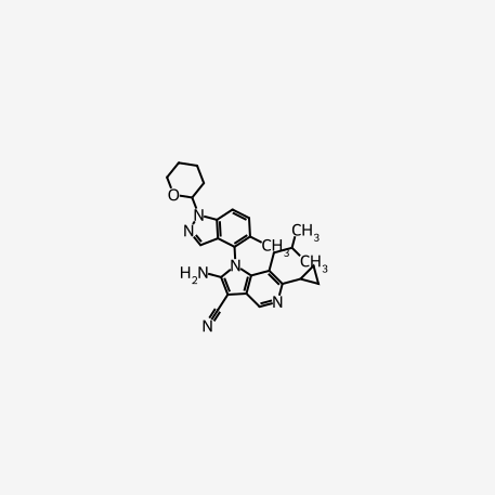 Cc1ccc2c(cnn2C2CCCCO2)c1-n1c(N)c(C#N)c2cnc(C3CC3)c(CC(C)C)c21